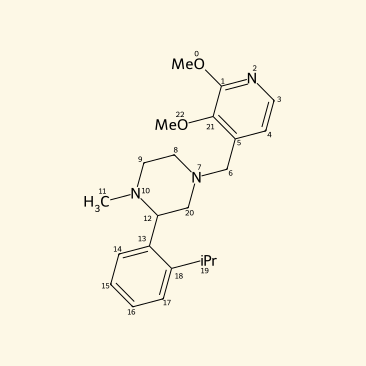 COc1nccc(CN2CCN(C)C(c3ccccc3C(C)C)C2)c1OC